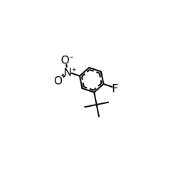 CC(C)(C)c1cc([N+](=O)[O-])ccc1F